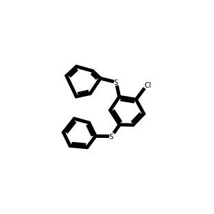 Clc1ccc(Sc2ccccc2)cc1Sc1ccccc1